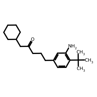 CC(C)(C)c1ccc(CCCC(=O)CC2CCCCC2)cc1N